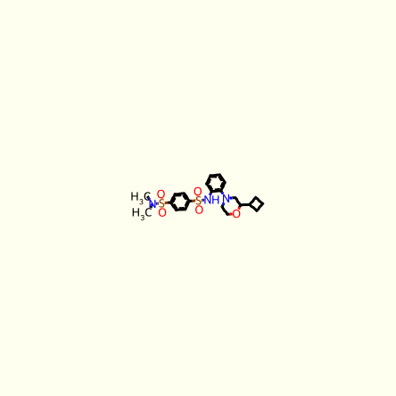 CN(C)S(=O)(=O)c1ccc(S(=O)(=O)Nc2ccccc2N2CCOC(C3CCC3)C2)cc1